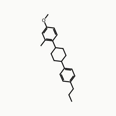 CCCc1ccc(C2CCC(c3ccc(OC)cc3C)CC2)cc1